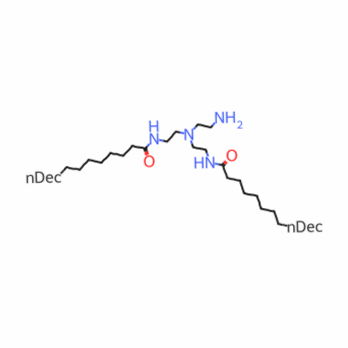 CCCCCCCCCCCCCCCCCC(=O)NCCN(CCN)CCNC(=O)CCCCCCCCCCCCCCCCC